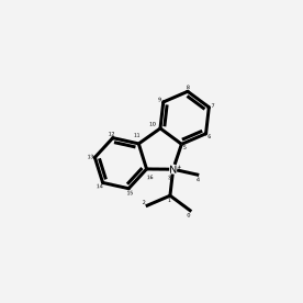 CC(C)[N+]1(C)c2ccccc2-c2ccccc21